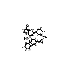 O=C([C@@H]1C[C@H]1c1ccccc1)N1CCCC(c2cc(NCc3ccccc3)n3ncc(Br)c3n2)C1